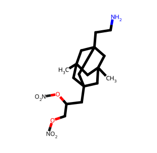 CC12CC3(C)CC(CCN)(C1)CC(CC(CO[N+](=O)[O-])O[N+](=O)[O-])(C2)C3